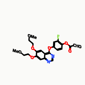 COCCOc1cc2ncnc(Oc3ccc(OC(=O)C=O)c(F)c3)c2cc1OCCOC